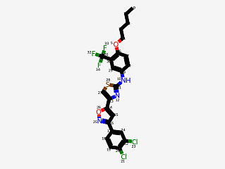 CCCCCOc1ccc(Nc2nc(-c3cc(-c4ccc(Cl)c(Cl)c4)no3)cs2)cc1C(F)(F)F